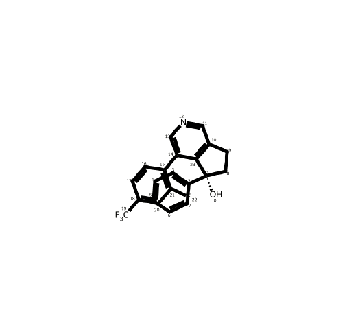 O[C@@]1(c2ccccc2)CCc2cncc(-c3ccc(C(F)(F)F)cc3F)c21